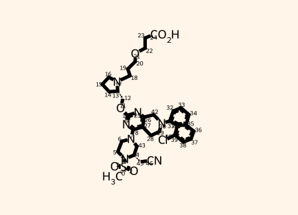 CS(=O)(=O)N1CCN(c2nc(OC[C@@H]3CCCN3CCCOCCC(=O)O)nc3c2CCN(c2cccc4cccc(Cl)c24)C3)C[C@@H]1CC#N